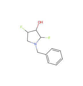 OC1C(F)CN(Cc2ccccc2)C1F